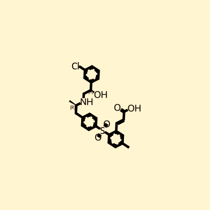 Cc1ccc(S(=O)(=O)c2ccc(C[C@@H](C)NC[C@H](O)c3cccc(Cl)c3)cc2)c(C=CC(=O)O)c1